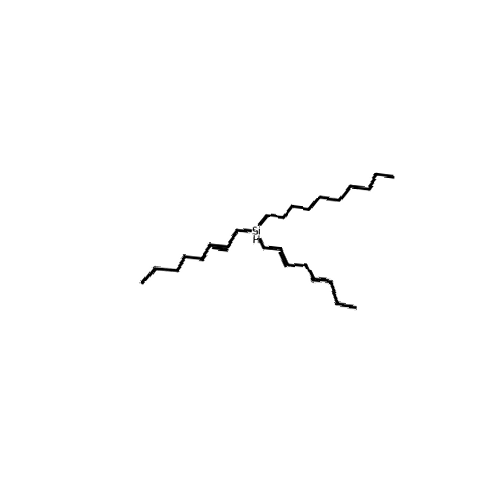 CCCCCC=CC[SiH](CC=CCCCCC)CCCCCCCCCC